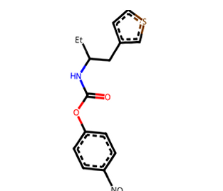 CCC(Cc1ccsc1)NC(=O)Oc1ccc([N+](=O)[O-])cc1